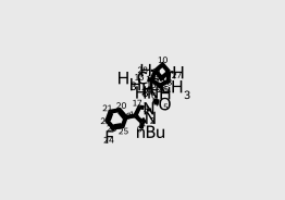 CCCCC1=NN(C(=O)N[C@H]2C[C@H]3C[C@@H]([C@@H]2C)C3(C)C)CC1c1cccc(F)c1